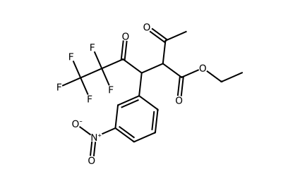 CCOC(=O)C(C(C)=O)C(C(=O)C(F)(F)C(F)(F)F)c1cccc([N+](=O)[O-])c1